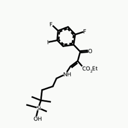 CCOC(=O)C(=CNCCCC(C)(C)[Si](C)(C)O)C(=O)c1cc(I)c(F)cc1F